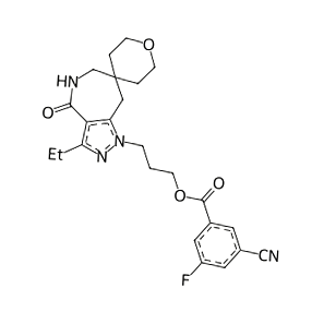 CCc1nn(CCCOC(=O)c2cc(F)cc(C#N)c2)c2c1C(=O)NCC1(CCOCC1)C2